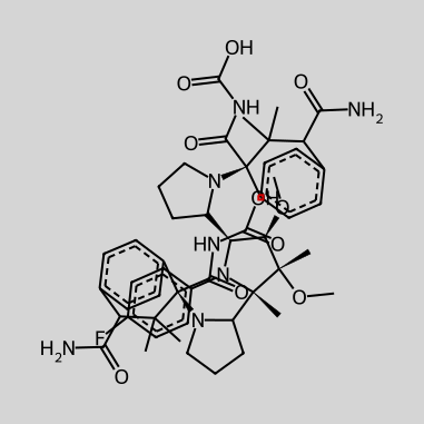 CO[C@@H]1[C@H](C2CCCN2[C@]2(C(=O)NC(=O)O)c3ccc(cc3)C(C(N)=O)C2(C)C)N(c2ccc(F)cc2)[C@@](C)(C2CCCN2[C@]2(C(=O)NC(=O)O)c3ccc(cc3)C(C(N)=O)C2(C)C)[C@@]1(C)OC